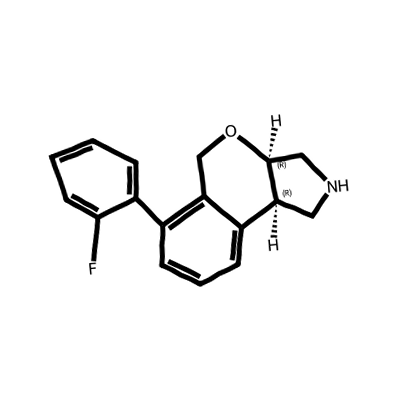 Fc1ccccc1-c1cccc2c1CO[C@H]1CNC[C@@H]21